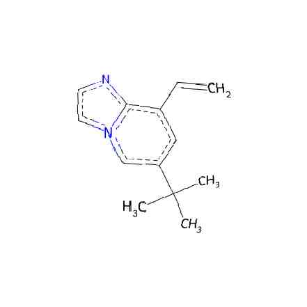 C=Cc1cc(C(C)(C)C)cn2ccnc12